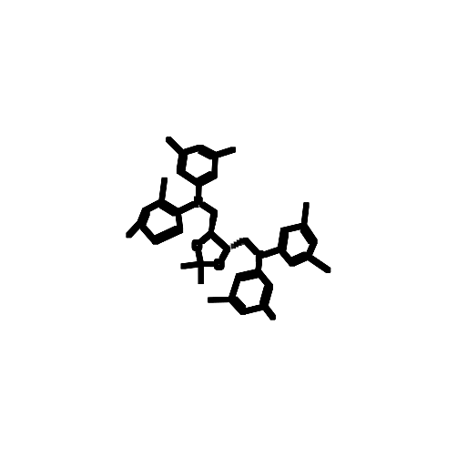 Cc1cc(C)cc(P(C[C@@H]2OC(C)(C)O[C@H]2CP(c2cc(C)cc(C)c2)c2ccc(C)cc2C)c2cc(C)cc(C)c2)c1